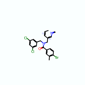 C=N/C=C(\C=C/C)CN(Cc1cc(Cl)cc(Cl)c1)C(=O)c1ccc(Br)c(C)c1